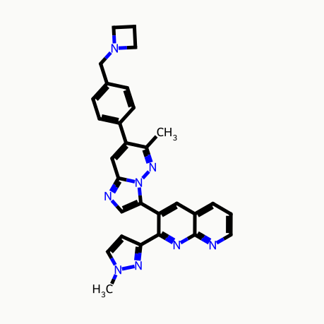 Cc1nn2c(-c3cc4cccnc4nc3-c3ccn(C)n3)cnc2cc1-c1ccc(CN2CCC2)cc1